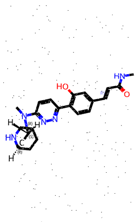 CNC(=O)/C=C/c1ccc(-c2ccc(N(C)[C@H]3C[C@H]4CC[C@@H]3CN4)nn2)c(O)c1